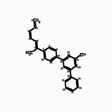 C=N/C=C\C=C(/C)c1ccc(-c2cc(-c3ccccc3)nc(Cl)n2)cc1